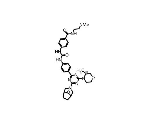 CNCCNC(=O)c1ccc(NC(=O)Nc2ccc(-c3nc(N4CC5CCC(C4)O5)nc(N4CCOC[C@@H]4C)n3)cc2)cc1